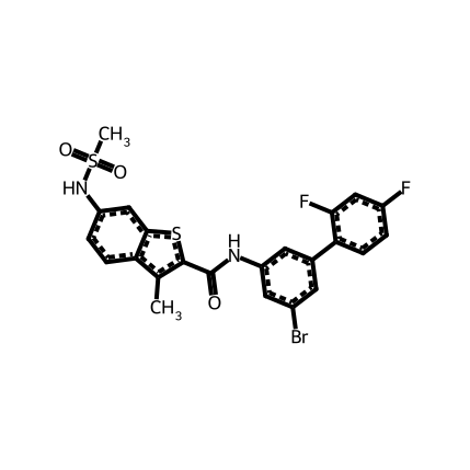 Cc1c(C(=O)Nc2cc(Br)cc(-c3ccc(F)cc3F)c2)sc2cc(NS(C)(=O)=O)ccc12